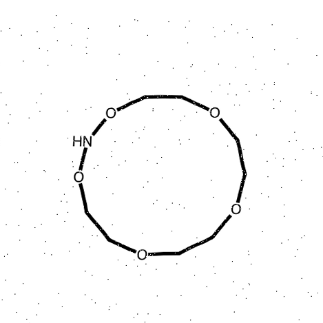 C1COCCONOCCOCCO1